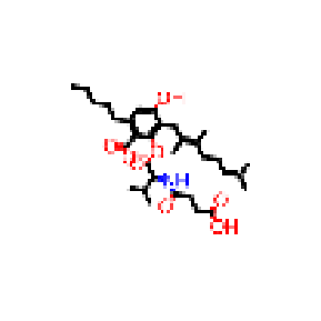 CCCCCc1cc(O)c(C/C(C)=C(\C)CCC=C(C)C)c(OC(=O)C(NC(=O)CCC(=O)O)C(C)C)c1C(=O)O